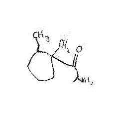 CC1CCCC1(C)C(N)=O